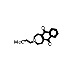 COCCN1CCC2=C(CC1)C(=O)c1ccccc1C2=O